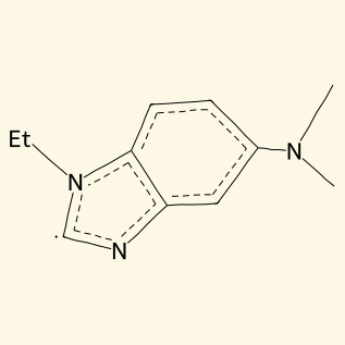 CCn1[c]nc2cc(N(C)C)ccc21